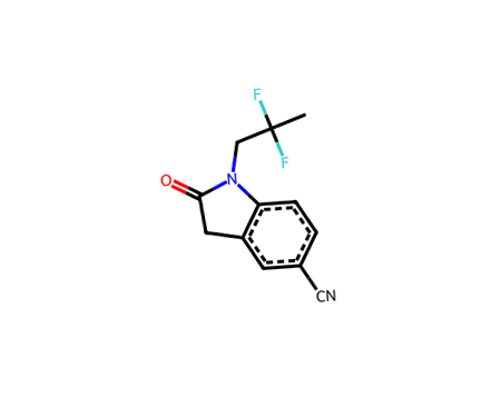 CC(F)(F)CN1C(=O)Cc2cc(C#N)ccc21